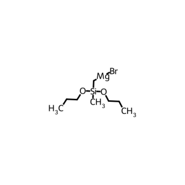 CCCO[Si](C)([CH2][Mg][Br])OCCC